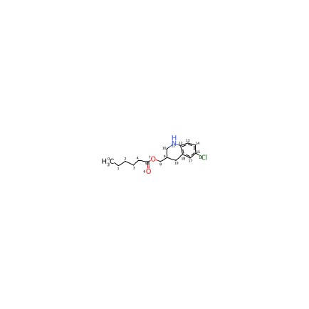 CCCCCC(=O)OCC1CNc2ccc(Cl)cc2C1